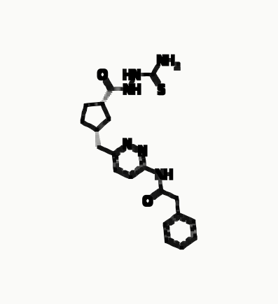 NC(=S)NNC(=O)[C@H]1CC[C@@H](Cc2ccc(NC(=O)Cc3ccccc3)nn2)C1